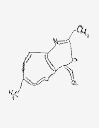 Cc1ccc2nc(C)oc(=O)c2c1